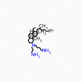 CC(C)CCC[C@@H](C)[C@H]1CC[C@H]2[C@@H]3CCC4CCC(N(CCCN)CCCCN)C[C@]4(C)[C@H]3CC[C@]12C